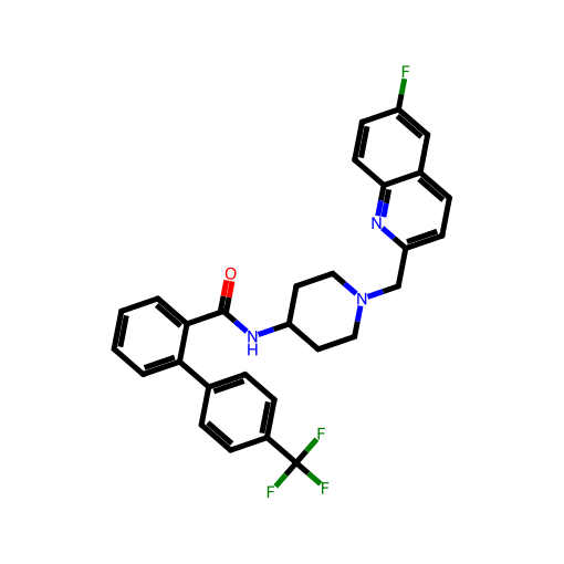 O=C(NC1CCN(Cc2ccc3cc(F)ccc3n2)CC1)c1ccccc1-c1ccc(C(F)(F)F)cc1